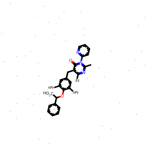 CCCc1cc(Cc2c(CC)nc(C)n(-c3ccccn3)c2=O)cc(CCC)c1OC(C(=O)O)c1ccccc1